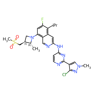 CC(C)c1c(F)cc(N2C[C@H](CS(C)(=O)=O)[C@H]2C)c2cnc(Nc3ccnc(-c4cn(C)nc4Cl)n3)cc12